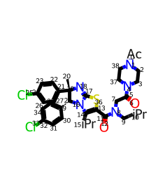 CC(=O)N1CCN(C(=O)CN(CC(C)C)C(=O)C2=C(C(C)C)N3C(=N[C@@](C)(c4ccc(Cl)cc4)[C@H]3c3ccc(Cl)cc3)S2)CC1